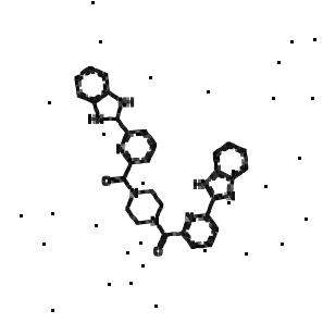 O=C(c1cccc(-c2nc3ccccc3[nH]2)n1)N1CCN(C(=O)c2cccc(C3Nc4ccccc4N3)n2)CC1